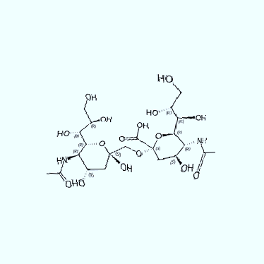 CC(=O)N[C@H]1[C@H]([C@H](O)[C@H](O)CO)O[C@](O)(CO[C@@]2(C(=O)O)C[C@H](O)[C@@H](NC(C)=O)[C@H]([C@H](O)[C@H](O)CO)O2)C[C@@H]1O